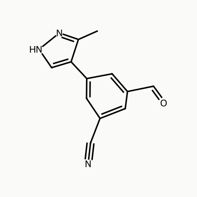 Cc1n[nH]cc1-c1cc(C#N)cc(C=O)c1